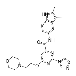 Cc1[nH]c2ccc(NC(=O)c3cc(OCCN4CCOCC4)nc(-n4ccnc4)n3)cc2c1C